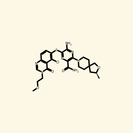 COCCn1cnc2ccc(Sc3nc(C(N)=O)c(N4CCC5(CC4)CO[C@@H](C)C5)nc3N)c(Cl)c2c1=O